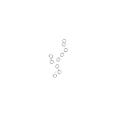 CC1(C)c2ccccc2-c2cccc(-c3ccc(N(c4ccc(-c5ccc(-c6cccc(-c7ccc8ccccc8c7)c6)cc5)cc4)c4cccc5c4sc4ccccc45)cc3)c21